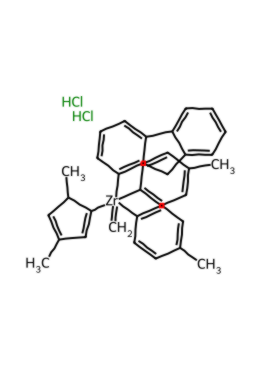 Cl.Cl.[CH2]=[Zr]([C]1=CC(C)=CC1C)([c]1ccc(C)cc1)([c]1ccc(C)cc1)[c]1cccc2c1Cc1ccccc1-2